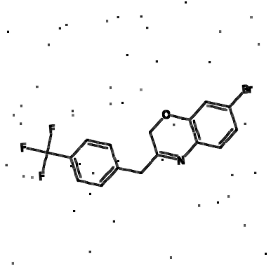 FC(F)(F)c1ccc(CC2=Nc3ccc(Br)cc3OC2)cc1